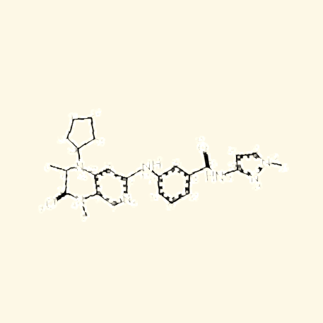 CC1C(=O)N(C)c2cnc(Nc3cccc(C(=O)Nc4ccn(C)n4)c3)cc2N1C1CCCC1